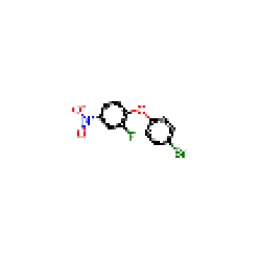 O=[N+]([O-])c1ccc(Oc2ccc(Br)cc2)c(F)c1